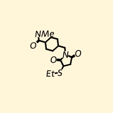 CCSC1CC(=O)N(CC2CCC(C(=O)NC)CC2)C1=O